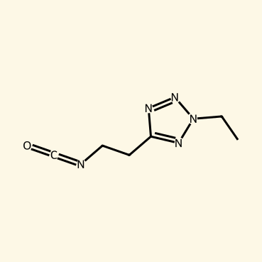 CCn1nnc(CCN=C=O)n1